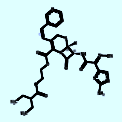 CCC(CC)C(=O)OCCOC(=O)C1=C(/C=C\c2cccnc2)CS[C@H]2[C@H](NC(=O)C(=NO)c3csc(N)n3)C(=O)N12